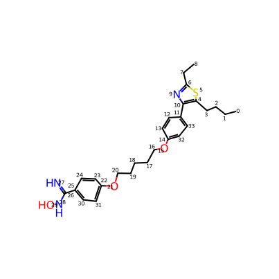 CCCCc1sc(CC)nc1-c1ccc(OCCCCCOc2ccc(C(=N)NO)cc2)cc1